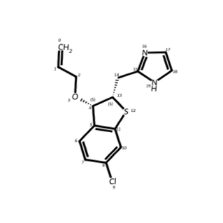 C=CCO[C@H]1c2ccc(Cl)cc2S[C@H]1Cc1ncc[nH]1